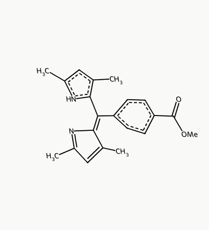 COC(=O)c1ccc(/C(=C2/N=C(C)C=C2C)c2[nH]c(C)cc2C)cc1